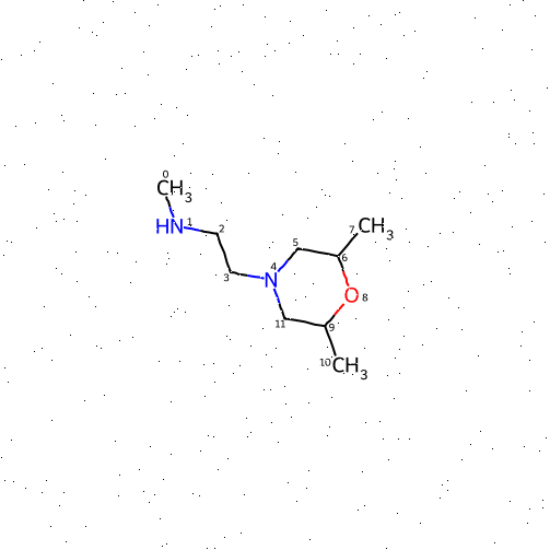 CNCCN1CC(C)OC(C)C1